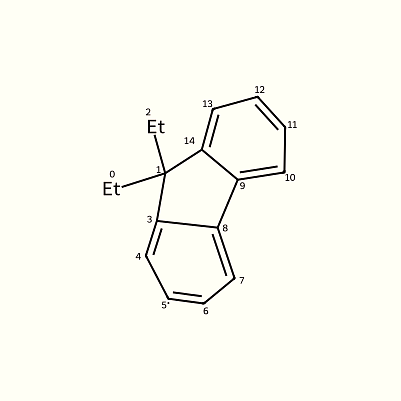 CCC1(CC)c2c[c]ccc2-c2ccccc21